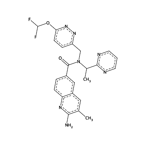 Cc1cc2cc(C(=O)N(Cc3ccc(OC(F)F)nn3)C(C)c3ncccn3)ccc2nc1N